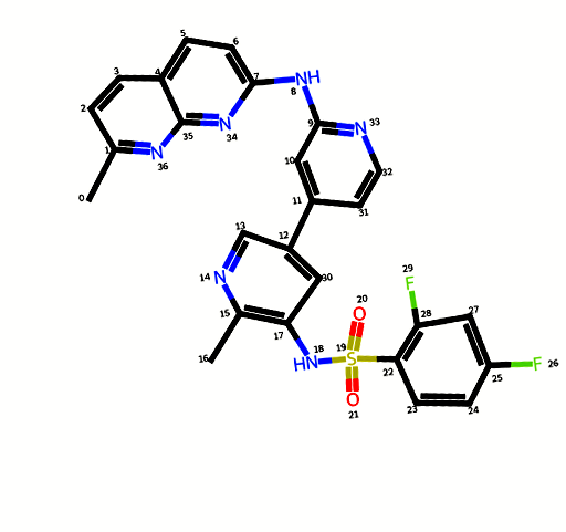 Cc1ccc2ccc(Nc3cc(-c4cnc(C)c(NS(=O)(=O)c5ccc(F)cc5F)c4)ccn3)nc2n1